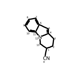 N#CC1CCc2cc3ccccc3n2C1